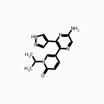 CC(C)n1cc(-c2ncc(N)nc2-c2cn[nH]c2)ccc1=O